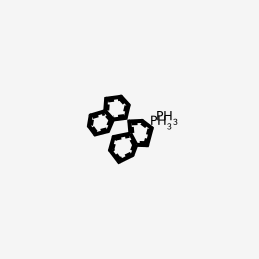 P.P.c1ccc2ccccc2c1.c1ccc2ccccc2c1